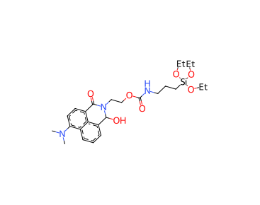 CCO[Si](CCCNC(=O)OCCN1C(=O)c2ccc(N(C)C)c3cccc(c23)C1O)(OCC)OCC